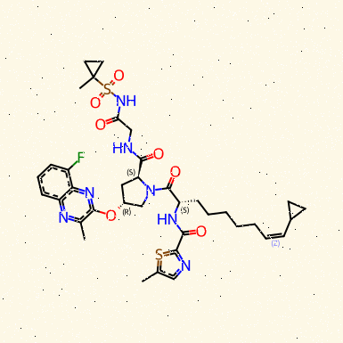 Cc1cnc(C(=O)N[C@@H](CCCCC/C=C\C2CC2)C(=O)N2C[C@H](Oc3nc4c(F)cccc4nc3C)C[C@H]2C(=O)NCC(=O)NS(=O)(=O)C2(C)CC2)s1